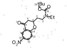 CCN(CCC1CC(=O)c2cc([N+](=O)[O-])ccc2O1)C(=O)OC(C)(C)C